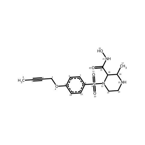 CC#CCOc1ccc(S(=O)(=O)N2CCNC(C)C2C(=O)NO)cc1